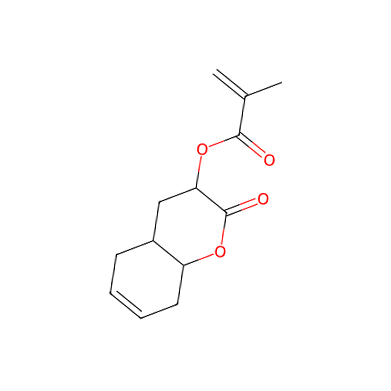 C=C(C)C(=O)OC1CC2CC=CCC2OC1=O